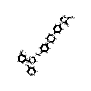 CCC(C)n1ncn(-c2ccc(N3CCN(c4ccc(OC[C@@H]5CO[C@@](Cc6ccnnc6)(c6cccc(C)c6)O5)cc4)CC3)cc2)c1=O